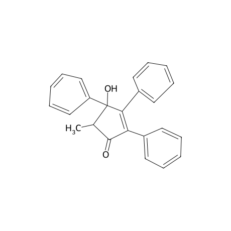 CC1C(=O)C(c2ccccc2)=C(c2ccccc2)C1(O)c1ccccc1